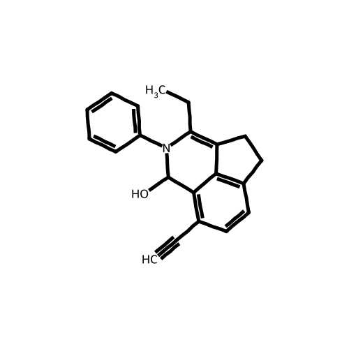 C#Cc1ccc2c3c1C(O)N(c1ccccc1)C(CC)=C3CC2